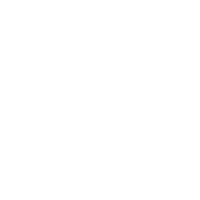 CCCC(C)C1CCC(C(CCC)CC(F)C(C)CC(C(C)CCC)C(C)CC2CCC(CC)CC2C)C1